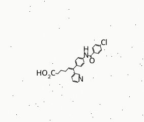 O=C(O)CCCC=C(c1ccc(NC(=O)c2ccc(Cl)cc2)cc1)c1cccnc1